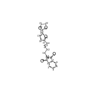 O=C1c2ccccc2C(=O)N1CCSCc1ccc(C2OCCO2)o1